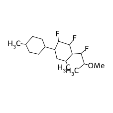 COC(C)C(F)C1C(C)CC(C2CCC(C)CC2)C(F)C1F